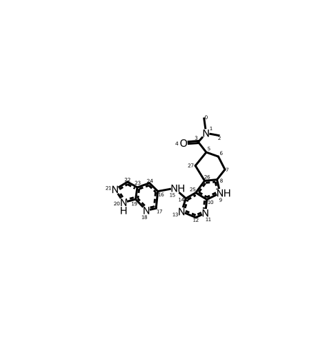 CN(C)C(=O)C1CCc2[nH]c3ncnc(Nc4cnc5[nH]ncc5c4)c3c2C1